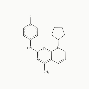 Cc1nc(Nc2ccc(F)cc2)nc2c1C=CCN2C1CCCC1